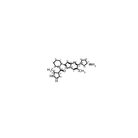 Cc1cn2nc([C@@H]3CCCCN3C(=O)C3CNNC3C)cc2nc1N1CC[C@H](N)C1